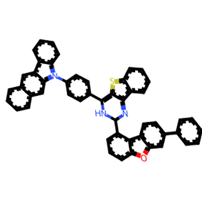 c1ccc(-c2ccc3c(c2)oc2cccc(C4N=c5c(sc6ccccc56)=C(c5ccc(-n6c7ccccc7c7cc8ccccc8cc76)cc5)N4)c23)cc1